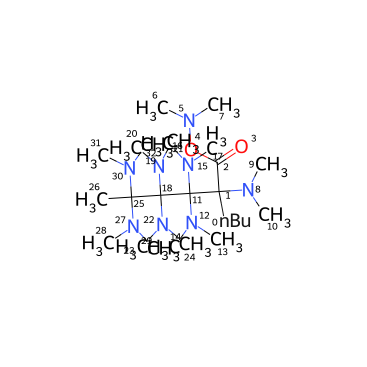 CCCCC(C(=O)ON(C)C)(N(C)C)C(N(C)C)(N(C)C)C(N(C)C)(N(C)C)C(C)(N(C)C)N(C)C